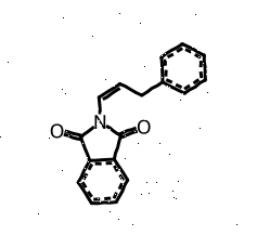 O=C1c2ccccc2C(=O)N1/C=C\Cc1ccccc1